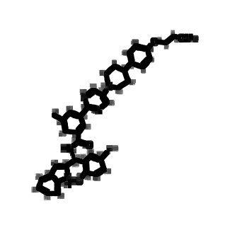 COCCOc1ccc(C2CCN(c3cnc(-c4cc(C)cc(C(=O)N[C@@H](c5cc6ccccc6[nH]5)c5cc(F)ccc5O)c4)nc3)CC2)cc1